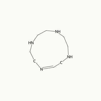 C1=NCCNCCNCCNC1